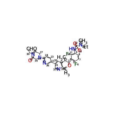 C=C(C(=O)c1c(F)ccc(NS(=O)(=O)N(C)CC)c1F)c1cc(-c2ccc(N3CCN(CC=O)C(=O)C3)nc2)cnc1C